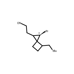 CC(C)[C@@H]1C(CCN=O)C12CCC2CC(C)(C)C